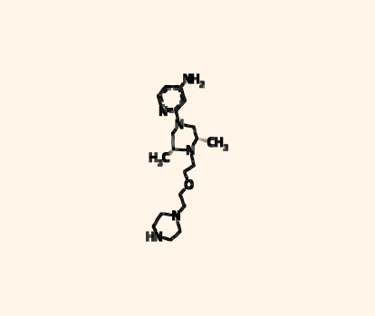 C[C@@H]1CN(c2cc(N)ccn2)C[C@H](C)N1CCOCCN1CCNCC1